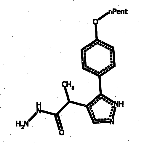 CCCCCOc1ccc(-c2[nH]ncc2C(C)C(=O)NN)cc1